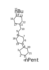 CCCCCC1CCC(C2CCC(CCC3CCC(CCCC)CC3)CC2)CC1